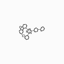 Clc1ccc2oc3cccc(-c4nc(-c5ccccc5)nc(-c5ccc(-c6ccccc6)cc5)n4)c3c2c1